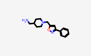 NCC1CCN(Cc2cc(-c3ccccc3)no2)CC1